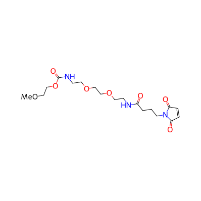 COCCOC(=O)NCCOCCOCCNC(=O)CCCN1C(=O)C=CC1=O